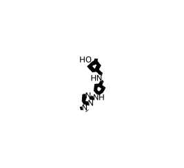 Cc1cc(CNCC2CCC(Nc3nccc(N(C)C)n3)CC2)ccc1O